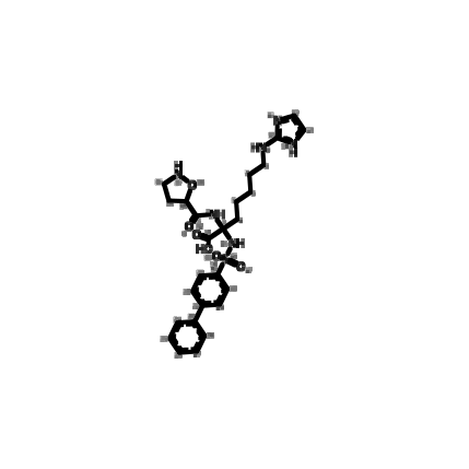 O=C(NC(CCCCCNc1ncc[nH]1)(NS(=O)(=O)c1ccc(-c2ccccc2)cc1)C(=O)O)C1CCNO1